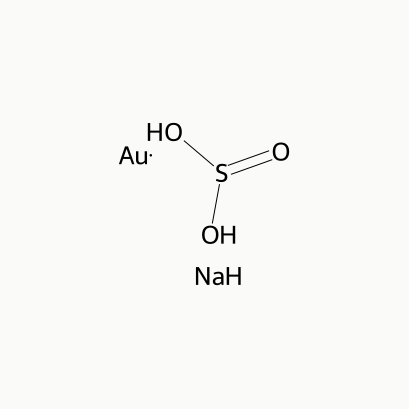 O=S(O)O.[Au].[NaH]